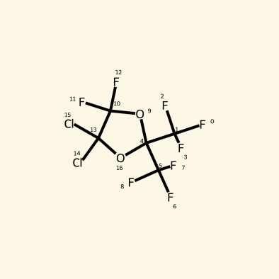 FC(F)(F)C1(C(F)(F)F)OC(F)(F)C(Cl)(Cl)O1